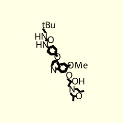 COc1cc2c(Oc3ccc(NC(=O)NCCC(C)(C)C)cc3)ccnc2cc1OCC(O)CN1CC(C)OC(C)C1